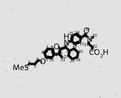 CSCCCOc1ccc2oc(C(Nc3ccc(C(=O)N(C)CCC(=O)O)cc3)C3CCCCC3)c(C)c2c1